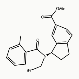 COC(=O)c1ccc2c(c1)[C@H](N(CC(C)C)C(=O)c1ccccc1C)CC2